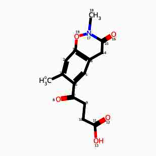 Cc1cc2c(cc1C(=O)CCC(=O)O)CC(=O)N(C)O2